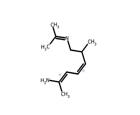 CC(C)=NCC(C)/C=C\C=C(/C)N